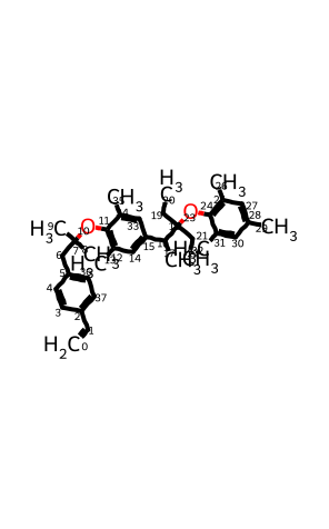 C=Cc1ccc(CC(C)(C)Oc2c(C)cc(C(C)C(CC)(CC)Oc3c(C)cc(C)cc3C)cc2C)cc1